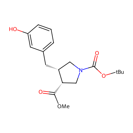 COC(=O)[C@H]1CN(C(=O)OC(C)(C)C)C[C@H]1Cc1cccc(O)c1